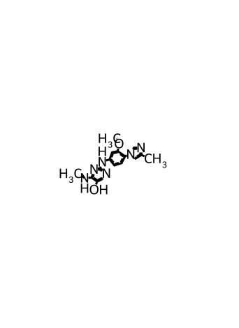 CNc1nc(Nc2ccc(-n3cnc(C)c3)c(OC)c2)ncc1O